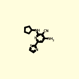 N#Cc1c(N)cc(-c2nccs2)nc1NC1CCCC1